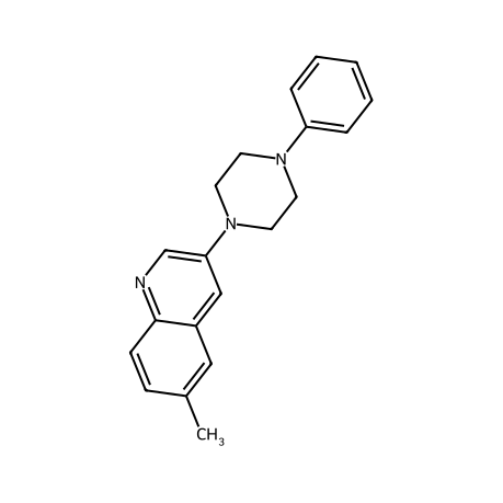 Cc1ccc2ncc(N3CCN(c4ccccc4)CC3)cc2c1